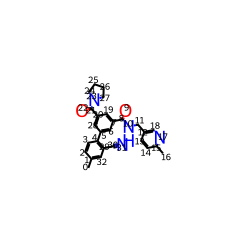 Cc1ccc(-c2cc(C(=O)NCc3ccc(C)nc3)cc(C(=O)N3CCCC3)c2)c(C#N)c1